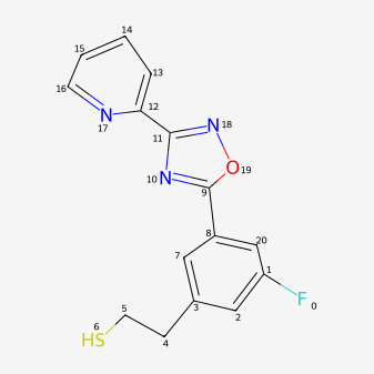 Fc1cc(CCS)cc(-c2nc(-c3ccccn3)no2)c1